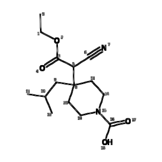 CCOC(=O)C(C#N)C1(CC(C)C)CCN(C(=O)O)CC1